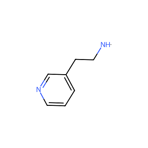 [NH]CCc1cccnc1